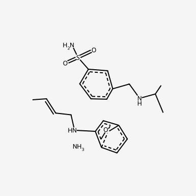 CC(C)NCc1cccc(S(N)(=O)=O)c1.CC=CCNc1cc2ccc1o2.N